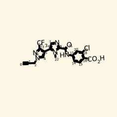 C#CCn1cc(-c2cnc(C(=O)Nc3ccc(C(=O)O)c(Cl)c3)n2C)c(C(F)(F)F)n1